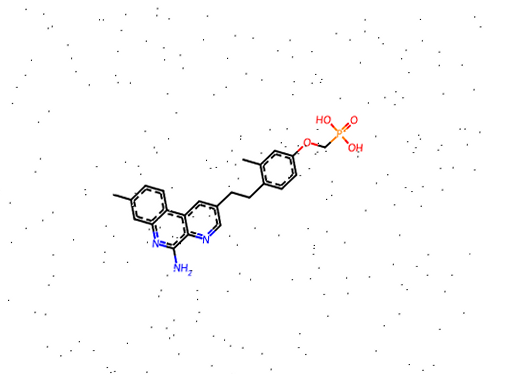 Cc1ccc2c(c1)nc(N)c1ncc(CCc3ccc(OCP(=O)(O)O)cc3C)cc12